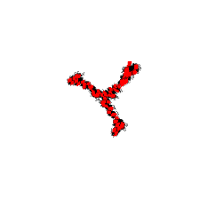 Cc1c(C)c2cc(/C=C/c3ccc(-c4ccc5c(c4)c(C)c(C)c4cc(N(c6ccc7c(c6)c(C)c(C)c6cc(-c8ccc(/C=C/c9ccc%10c(c9)c(C)c(C)c9ccccc9%10)cc8)ccc67)c6ccc7c(c6)c(C)c(C)c6cc(-c8ccc(/C=C/c9ccc%10c(c9)c(C)c(C)c9ccccc9%10)cc8)ccc67)ccc45)cc3)ccc2c2ccccc12